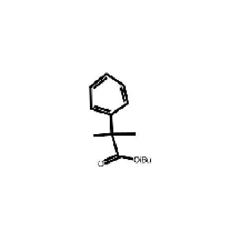 CC(C)COC(=O)C(C)(C)c1ccccc1